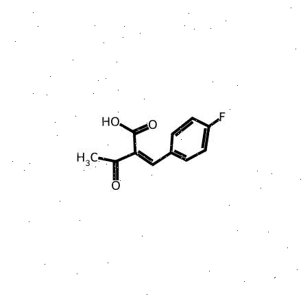 CC(=O)C(=Cc1ccc(F)cc1)C(=O)O